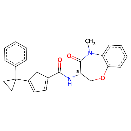 CN1C(=O)[C@@H](NC(=O)C2=CC=C(C3(c4ccccc4)CC3)C2)COc2ccccc21